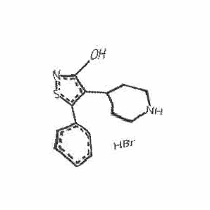 Br.Oc1nsc(-c2ccccc2)c1C1CCNCC1